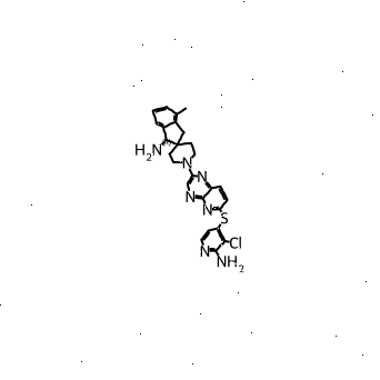 Cc1cccc2c1CC1(CCN(c3cnc4nc(Sc5ccnc(N)c5Cl)ccc4n3)CC1)[C@H]2N